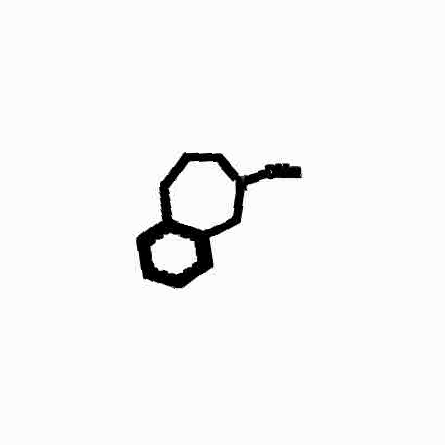 CON1CCCc2ccccc2C1